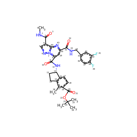 CNC(=O)c1cnn2c(C(=O)N[C@H]3CCc4c3ccc(C(=O)OC(C)(C)C)c4C)cc(C(=O)NCc3ccc(F)c(F)c3)nc12